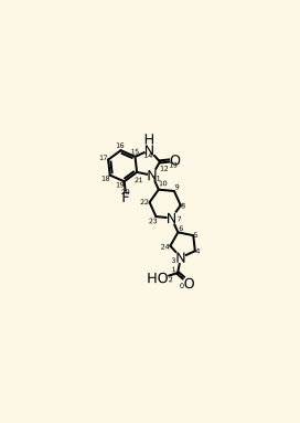 O=C(O)N1CCC(N2CCC(n3c(=O)[nH]c4cccc(F)c43)CC2)C1